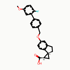 COc1ccc(F)c(-c2ccc(COc3ccc4c(c3)CC[C@]43C[C@H]3C(=O)O)cc2)c1